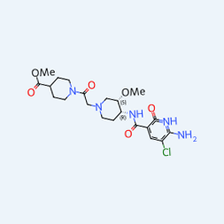 COC(=O)C1CCN(C(=O)CN2CC[C@@H](NC(=O)c3cc(Cl)c(N)[nH]c3=O)[C@@H](OC)C2)CC1